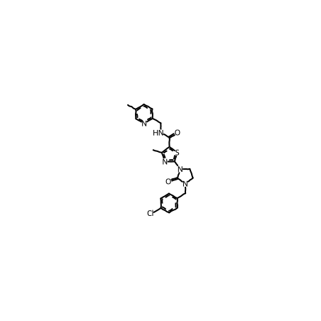 Cc1ccc(CNC(=O)c2sc(N3CCN(Cc4ccc(Cl)cc4)C3=O)nc2C)nc1